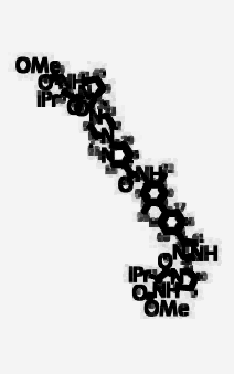 COC(=O)N[C@H](C(=O)N1CCC[C@H]1c1nc(-c2ccc(-c3cc(C)c(NC(=O)c4ccc(N5CCN(C(=O)[C@]6(C)CCCN6C(=O)[C@@H](NC(=O)OC)C(C)C)C[C@H]5C)nc4)cc3C)cc2)c[nH]1)C(C)C